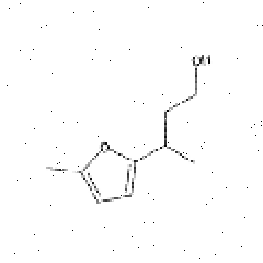 Cc1ccc(C(C)CCO)o1